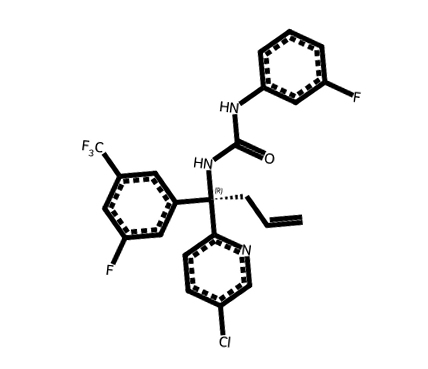 C=CC[C@@](NC(=O)Nc1cccc(F)c1)(c1cc(F)cc(C(F)(F)F)c1)c1ccc(Cl)cn1